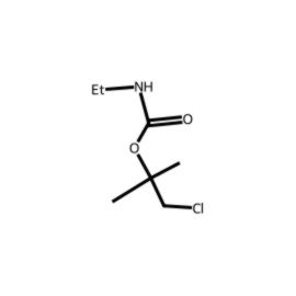 CCNC(=O)OC(C)(C)CCl